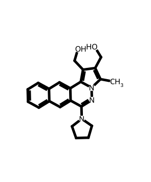 Cc1c(CO)c(CO)c2c3cc4ccccc4cc3c(N3CCCC3)nn12